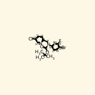 CC(C)(C)OC(=O)N(Cc1ccc(Cl)cn1)c1ccc(Br)c(F)n1